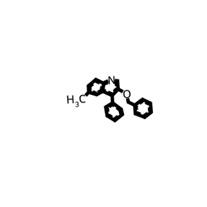 Cc1ccc2ncc(OCc3ccccc3)c(-c3ccccc3)c2c1